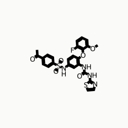 COc1cccc(F)c1Oc1ccc(NS(=O)(=O)c2ccc(C(C)=O)cc2)cc1NC(=O)Nc1nccs1